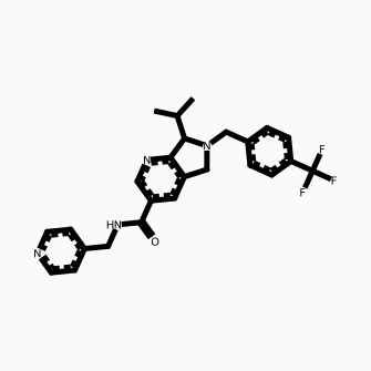 CC(C)C1c2ncc(C(=O)NCc3ccncc3)cc2CN1Cc1ccc(C(F)(F)F)cc1